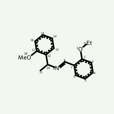 CCOc1ccccc1C=NC(C)c1ccccc1OC